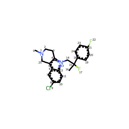 CN1CCc2c(c3cc(Cl)ccc3n2CC(C)(F)c2ccc(F)cc2)C1